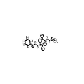 CCSCC[C@@H]1OC(=O)[C@H](CCSc2ccccc2)OC1=O